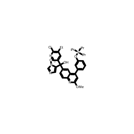 CCc1cc(C(O)(c2ccc3nc(OC)cc(-c4cccc(O[Si](C(C)C)(C(C)C)C(C)C)c4)c3c2)c2cncn2C)cnc1Cl